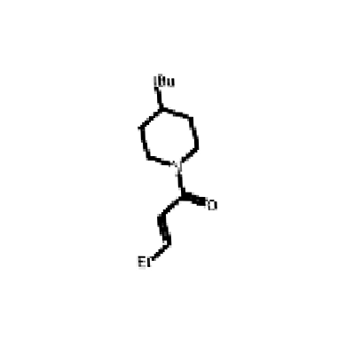 CC/C=C/C(=O)N1CCC(C(C)(C)C)CC1